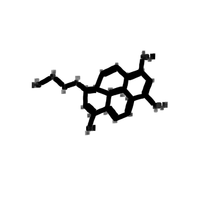 O=S(=O)(O)c1cc(S(=O)(=O)O)c2ccc3c(SOOO)cc(O)c4ccc1c2c43